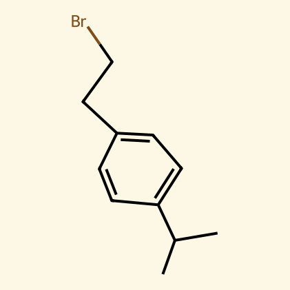 CC(C)c1ccc(CCBr)cc1